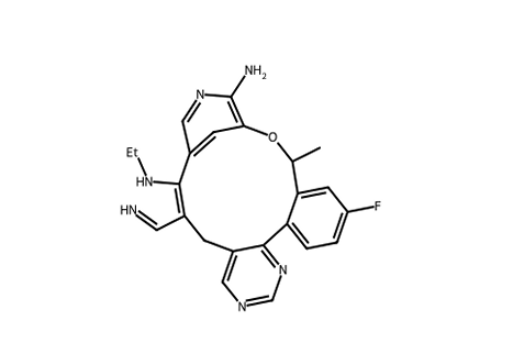 CCN/C1=C(\C=N)Cc2cncnc2-c2ccc(F)cc2C(C)Oc2cc1cnc2N